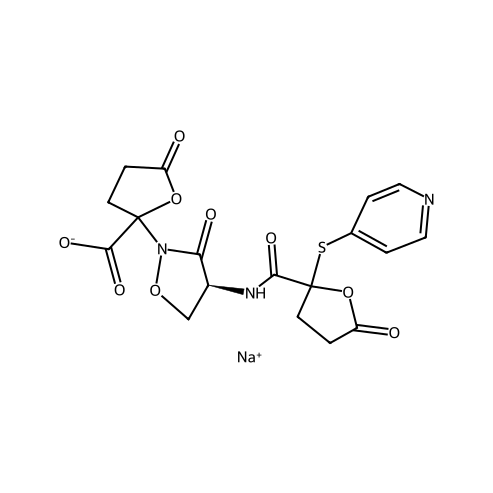 O=C1CCC(Sc2ccncc2)(C(=O)N[C@H]2CON(C3(C(=O)[O-])CCC(=O)O3)C2=O)O1.[Na+]